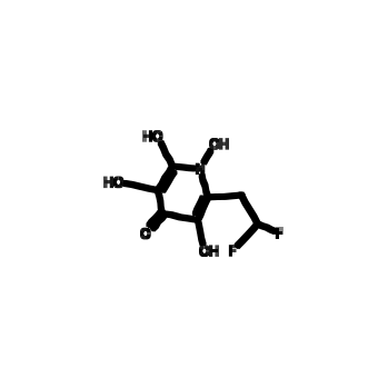 O=c1c(O)c(O)n(O)c(CC(F)F)c1O